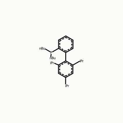 CCCCP(CCCC)c1ccccc1-c1c(C(C)C)cc(C(C)C)cc1C(C)C